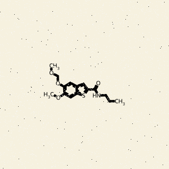 CCCNC(=O)c1cc2cc(OCOC)c(OC)cc2s1